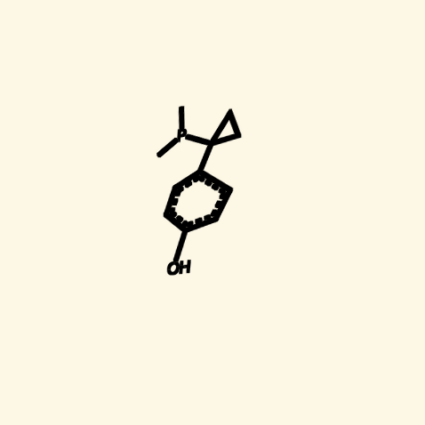 CP(C)C1(c2ccc(O)cc2)CC1